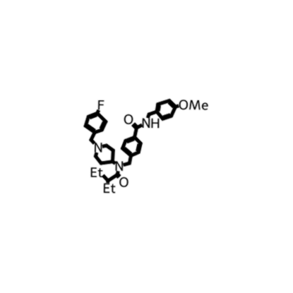 CCC(CC)C(=O)N(Cc1ccc(C(=O)NCc2ccc(OC)cc2)cc1)C1CCN(Cc2ccc(F)cc2)CC1